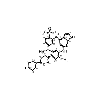 CCc1cc(Nc2nc(Nc3ccccc3P(C)(C)=O)c3cc[nH]c3n2)c(C)cc1N1CCC(N2CCNCC2)CC1